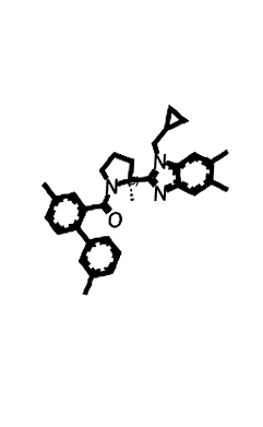 Cc1cccc(-c2ccc(C)cc2C(=O)N2CCC[C@@]2(C)c2nc3cc(C)c(C)cc3n2CC2CC2)c1